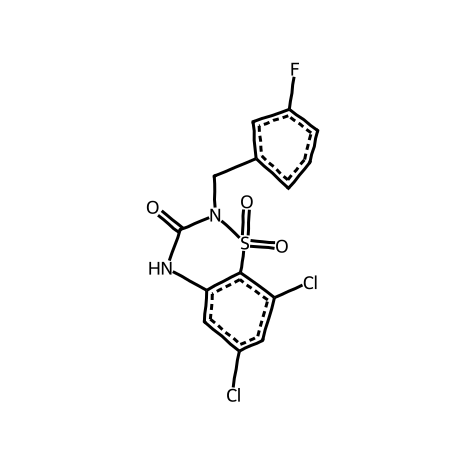 O=C1Nc2cc(Cl)cc(Cl)c2S(=O)(=O)N1Cc1cccc(F)c1